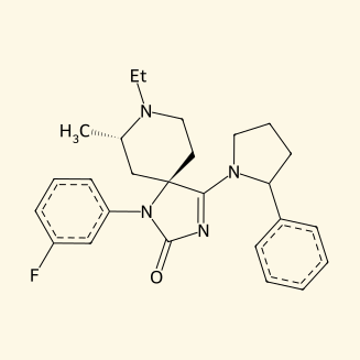 CCN1CC[C@@]2(C[C@@H]1C)C(N1CCCC1c1ccccc1)=NC(=O)N2c1cccc(F)c1